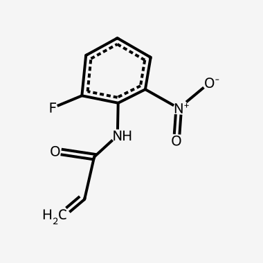 C=CC(=O)Nc1c(F)cccc1[N+](=O)[O-]